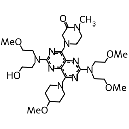 COCCN(CCO)c1nc(N2CCN(C)C(=O)C2)c2nc(N(CCOC)CCOC)nc(N3CCC(OC)CC3)c2n1